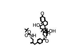 C=C(CCNC(=O)OC(C)(C)C)Cc1ccc(C(=O)N2C[C@@H]3CC4C5CCC6=CC(=O)C=CC6(C)C5C(O)CC4(C)C3(C(=O)CO)C2)cc1